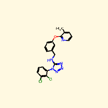 Cc1cccnc1Oc1cccc(CNc2nnnn2-c2cccc(Cl)c2Cl)c1